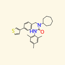 Cc1cc(C)c(NC(=O)N(Cc2ccc(-c3ccsc3)cc2)C2CCCCCC2)c(C)c1